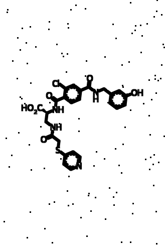 O=C(CSc1ccncc1)NC[C@H](NC(=O)c1ccc(C(=O)NCc2cccc(O)c2)cc1Cl)C(=O)O